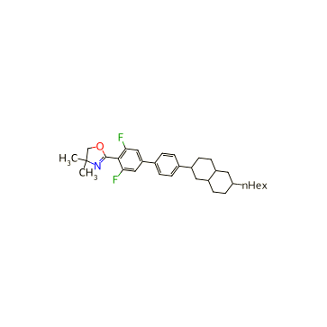 CCCCCCC1CCC2CC(c3ccc(-c4cc(F)c(C5=NC(C)(C)CO5)c(F)c4)cc3)CCC2C1